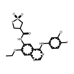 CCOc1cc2ncnc(Nc3ccc(F)c(Cl)c3)c2cc1NC(=O)C1CSS(=O)(=O)C1